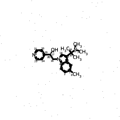 Cc1ccc2c(c1)c(C(C)(C)N(C)C)cn2C[C@H](O)c1ccncc1